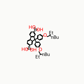 CCCCC(CC)COc1ccc(C2(c3ccc(OCC(CC)CCCC)cc3)c3cc(B(O)O)ccc3-c3ccc(B(O)O)cc32)cc1